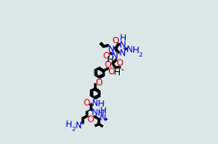 C=CCn1c(=O)n([C@@H]2O[C@H](C)[C@H]3OC(c4cccc(OCc5ccc(NC(=O)[C@H](CCCCN)NC(=O)C(NC)C(C)C)cc5)c4)O[C@H]32)c2nc(N)[nH]c(=O)c21